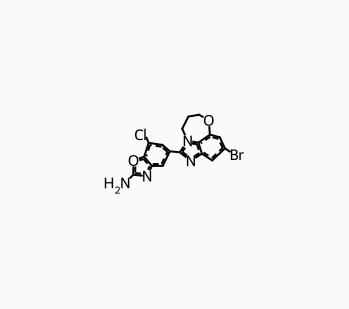 Nc1nc2cc(-c3nc4cc(Br)cc5c4n3CCCO5)cc(Cl)c2o1